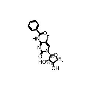 C[C@H]1O[C@@H](n2cc(F)c(NC(=O)c3ccccc3)nc2=O)[C@H](O)[C@@H]1O